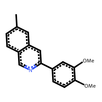 COc1ccc(-c2cc3cc(C)ccc3cn2)cc1OC